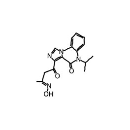 CC(CC(=O)c1ncn2c1c(=O)n(C(C)C)c1ccccc12)=NO